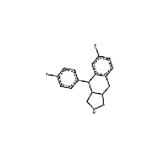 Fc1ccc(C2c3cc(F)ccc3CC3CNCC32)cc1